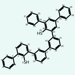 Sc1c(-c2ccccc2)cccc1-c1cccc(-c2cccc(-c3cc(-c4ccccc4)cc(-c4ccccc4)c3S)c2)c1